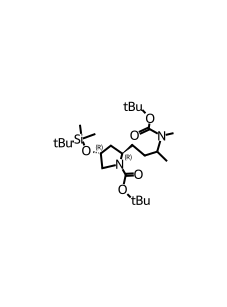 CC(CC[C@@H]1C[C@@H](O[Si](C)(C)C(C)(C)C)CN1C(=O)OC(C)(C)C)N(C)C(=O)OC(C)(C)C